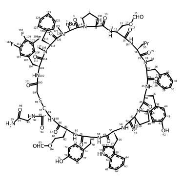 CCCC[C@H]1C(=O)N2CCC[C@@H]2C(=O)N[C@@H](COC=O)C(=O)N[C@@H](C(C)C)C(=O)N(C)[C@@H](Cc2ccccc2)C(=O)N[C@@H](Cc2ccc(O)cc2)C(=O)N2CCC[C@@H]2C(=O)N[C@@H](Cc2c[nH]c3ccccc23)C(=O)N[C@@H](Cc2ccc(O)cc2)C(=O)N[C@@H](CCOC=O)C(=O)N[C@H](C(=O)NCC(N)=O)CSCC(=O)N[C@@H](Cc2cc(F)c(F)c(F)c2)C(=O)N(C)[C@@H](Cc2ccccc2)C(=O)N1C